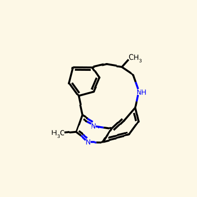 Cc1nc2ccc3cc2nc1-c1ccc(cc1)CC(C)CN3